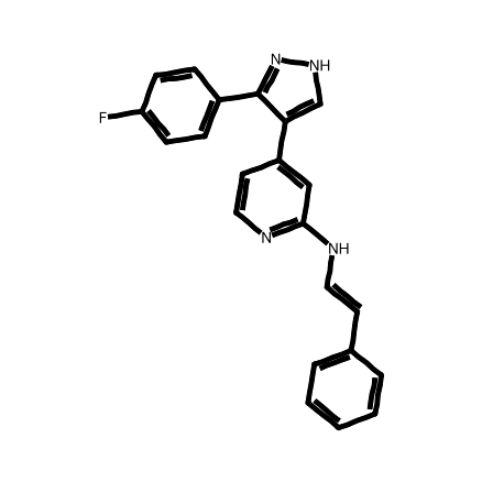 Fc1ccc(-c2n[nH]cc2-c2ccnc(NC=Cc3ccccc3)c2)cc1